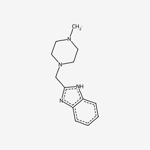 [CH2]N1CCN(Cc2nc3ccccc3[nH]2)CC1